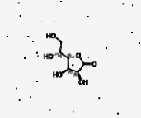 O=C1O[C@@H]([C@H](O)CO)[C@H](O)[C@@H]1O